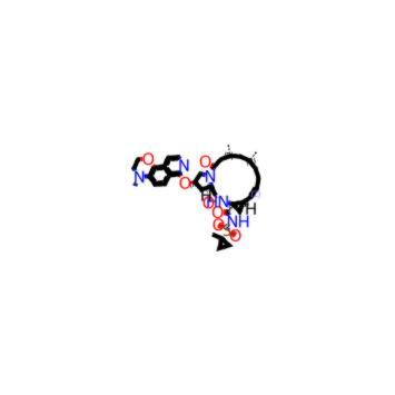 C[C@@H]1CC/C=C\[C@@H]2C[C@@]2(C(=O)NS(=O)(=O)C2(C)CC2)NC(=O)[C@@H]2C[C@@H](Oc3nccc4c5c(ccc34)N(C)CCO5)CN2C(=O)C[C@H](C)C1